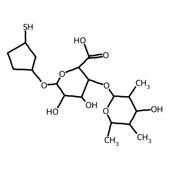 CC1OC(OC2C(C(=O)O)OC(OC3CCC(S)C3)C(O)C2O)C(C)C(O)C1C